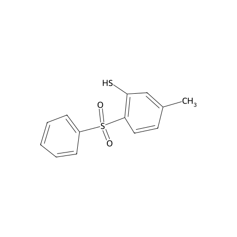 Cc1ccc(S(=O)(=O)c2ccccc2)c(S)c1